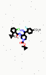 CC1(OC(=O)N2CCC(C(=N)c3ccc(C(=O)O)cc3F)=C(NC(=O)c3c(Cl)cccc3C3(C(F)(F)F)CC3)C2)CC1